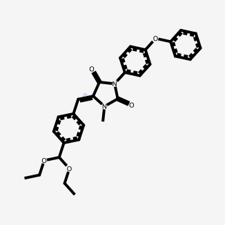 CCOC(OCC)c1ccc(/C=C2/C(=O)N(c3ccc(Oc4ccccc4)cc3)C(=O)N2C)cc1